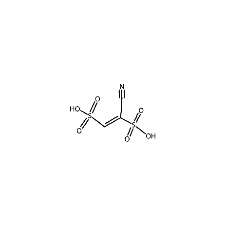 N#CC(=CS(=O)(=O)O)S(=O)(=O)O